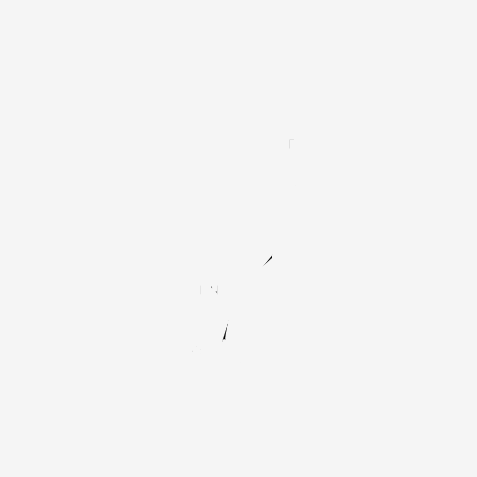 O=C(O)[C@@H]1C[C@H](Cc2ccc(C(F)(F)F)cc2)CN1